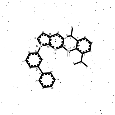 CC(C)c1cccc(C(C)C)c1Nc1ccc2ccn(-c3cccc(-c4ccccc4)c3)c2n1